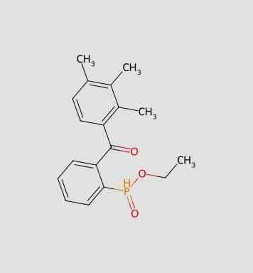 CCO[PH](=O)c1ccccc1C(=O)c1ccc(C)c(C)c1C